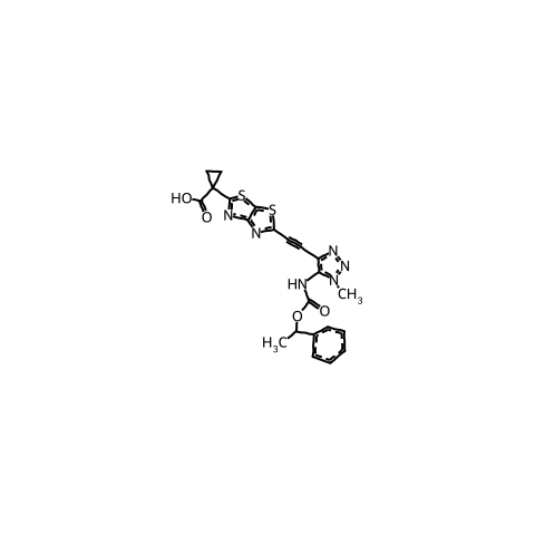 CC(OC(=O)Nc1c(C#Cc2nc3nc(C4(C(=O)O)CC4)sc3s2)nnn1C)c1ccccc1